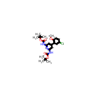 COc1ccc(Cl)cc1-c1cc(NC(=O)OC(C)(C)C)nc(NC(=O)OC(C)(C)C)c1